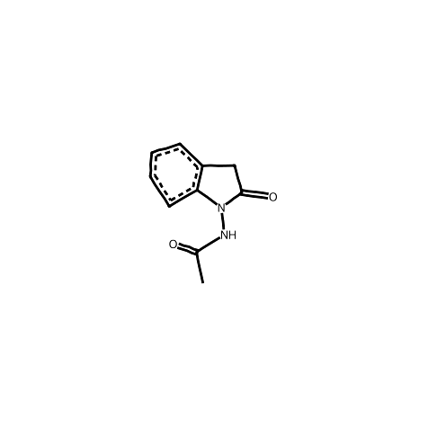 CC(=O)NN1C(=O)Cc2ccccc21